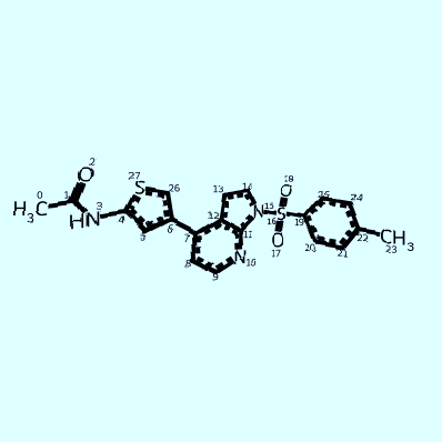 CC(=O)Nc1cc(-c2ccnc3c2ccn3S(=O)(=O)c2ccc(C)cc2)cs1